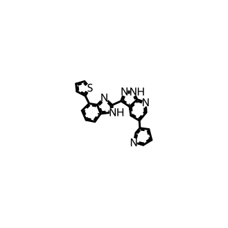 c1cncc(-c2cnc3[nH]nc(-c4nc5c(-c6cccs6)cccc5[nH]4)c3c2)c1